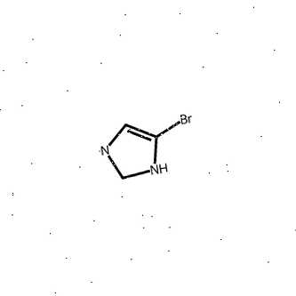 BrC1=C[N]CN1